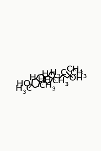 CC(C)[C@](C)(O)CCC[C@H]1CC[C@H]2[C@@H]3CC[C@H]4C[C@@](C)(O)CC[C@]4(C)[C@H]3CC[C@]12C